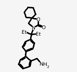 CCC(CC)(c1ccc(-c2ccccc2CN)cc1)N1CC2(CCCCC2)OC1=O